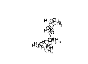 CC[C@H]1[C@@H](O)C2[C@H](CC[C@]3(C)[C@@H]([C@H](C)CCCC(=O)NS(=O)(=O)c4ccc(C(C)(C)C)cc4)CC[C@@H]23)C2(C)CC[C@@H](O)C[C@@H]12